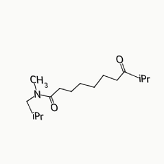 CC(C)CN(C)C(=O)CCCCCCC(=O)C(C)C